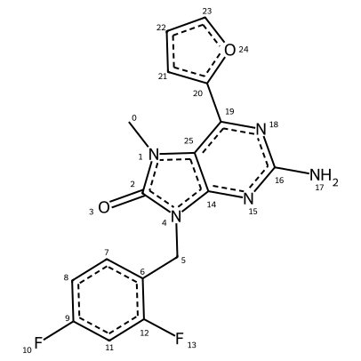 Cn1c(=O)n(Cc2ccc(F)cc2F)c2nc(N)nc(-c3ccco3)c21